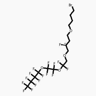 F[C@@H](CCOCCCCBr)COCC(F)(F)OC(F)(F)C(F)(F)OC(F)(F)C(F)(F)C(F)(F)C(F)(F)F